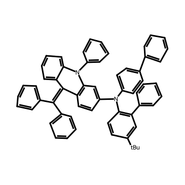 CC(C)(C)c1ccc(N(c2ccc(-c3ccccc3)cc2)c2ccc3c(c2)N(c2ccccc2)c2ccccc2C3=C(c2ccccc2)c2ccccc2)c(-c2ccccc2)c1